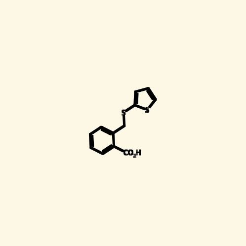 O=C(O)c1ccccc1CSc1cccs1